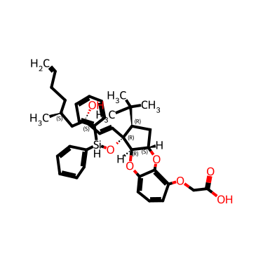 C=CCC[C@H](C)C[C@H](O)C=C[C@]1(O[SiH](c2ccccc2)c2ccccc2)[C@@H]2Oc3cccc(OCC(=O)O)c3O[C@H]2C[C@@H]1C(C)(C)C